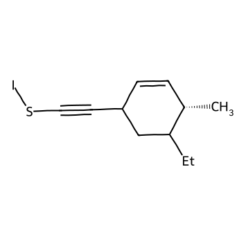 CCC1CC(C#CSI)C=C[C@@H]1C